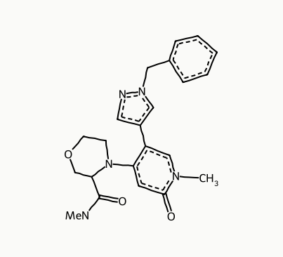 CNC(=O)C1COCCN1c1cc(=O)n(C)cc1-c1cnn(Cc2ccccc2)c1